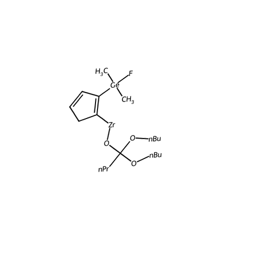 CCCCOC(CCC)(OCCCC)[O][Zr][C]1=[C]([Ge]([CH3])([CH3])[F])C=CC1